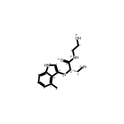 Cc1cccc2[nH]cc(S[C@@H](CC(C)C)C(=O)NCCO)c12